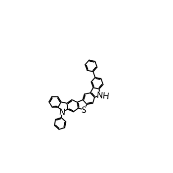 c1ccc(-c2ccc3[nH]c4cc5sc6cc7c(cc6c5cc4c3c2)c2ccccc2n7-c2ccccc2)cc1